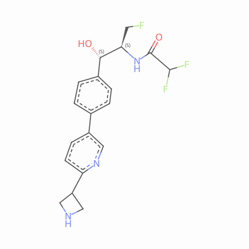 O=C(N[C@H](CF)[C@@H](O)c1ccc(-c2ccc(C3CNC3)nc2)cc1)C(F)F